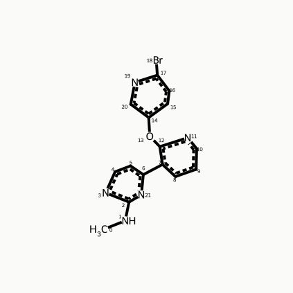 CNc1nccc(-c2cccnc2Oc2ccc(Br)nc2)n1